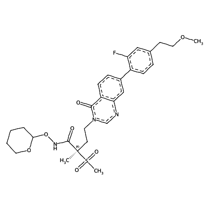 COCCc1ccc(-c2ccc3c(=O)n(CC[C@](C)(C(=O)NOC4CCCCO4)S(C)(=O)=O)cnc3c2)c(F)c1